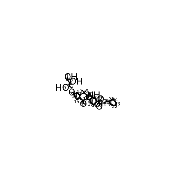 CC1(C)c2cc(OCC(O)C(O)CO)ccc2C(=O)c2c1[nH]c1cc(S(=O)(=O)CCc3ccccc3)ccc21